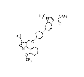 COC(=O)c1cn(C)c2cc(C3CCC(OCc4c(-c5ccccc5OC(F)(F)F)noc4C4CC4)CC3)ccc12